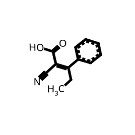 CC/C(=C(\C#N)C(=O)O)c1ccccc1